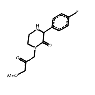 COCC(=O)CN1CCNC(c2ccc(F)cc2)C1=O